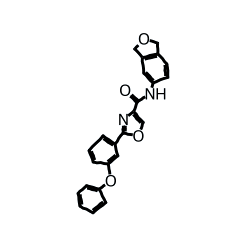 O=C(Nc1ccc2c(c1)COC2)c1coc(-c2cccc(Oc3ccccc3)c2)n1